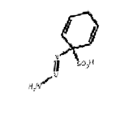 N/N=N/C1(S(=O)(=O)O)C=CCC=C1